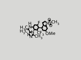 COc1cc(-c2c(F)cc3c(c2C(F)(F)F)-n2c(C)nnc2C(C)(C)N3)c2ccn(S(C)(=O)=O)c2c1